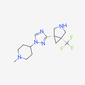 CN1CCC(n2cnc([C@]34CNC[C@@]3(C(F)(F)F)C4)n2)CC1